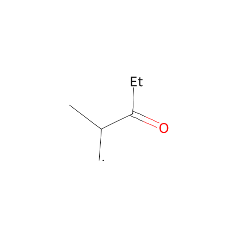 [CH2]C(C)C(=O)CC